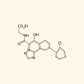 CCOC(=O)CNC(=O)c1c(O)c2ccc(-c3ccccc3Cl)cc2c2ncnn12